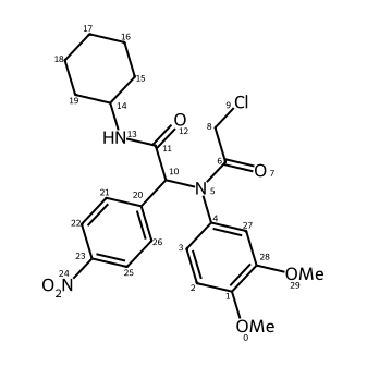 COc1ccc(N(C(=O)CCl)C(C(=O)NC2CCCCC2)c2ccc([N+](=O)[O-])cc2)cc1OC